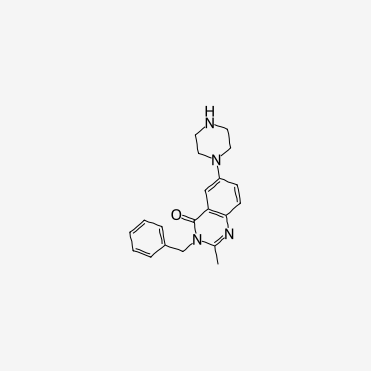 Cc1nc2ccc(N3CCNCC3)cc2c(=O)n1Cc1ccccc1